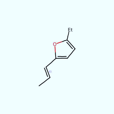 C/C=C/c1ccc(CC)o1